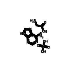 NCC(=O)O.Nc1ncnc2[nH]cnc12.O=S(=O)(O)O